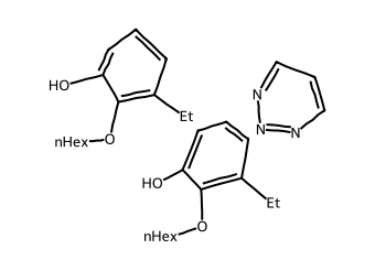 CCCCCCOc1c(O)cccc1CC.CCCCCCOc1c(O)cccc1CC.c1cnnnc1